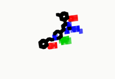 Cc1ccc(O)c(-c2cc(C3CCN(CCc4ccccc4O)CC3)nc(N)n2)c1.Cl.Cl